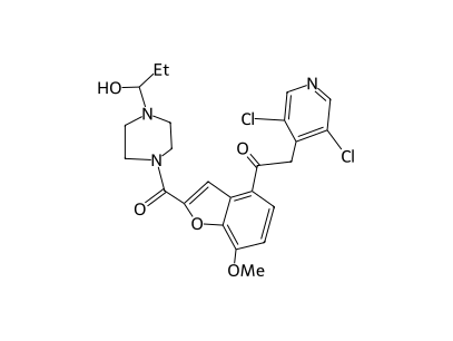 CCC(O)N1CCN(C(=O)c2cc3c(C(=O)Cc4c(Cl)cncc4Cl)ccc(OC)c3o2)CC1